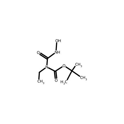 CCN(C(=O)NO)C(=O)OC(C)(C)C